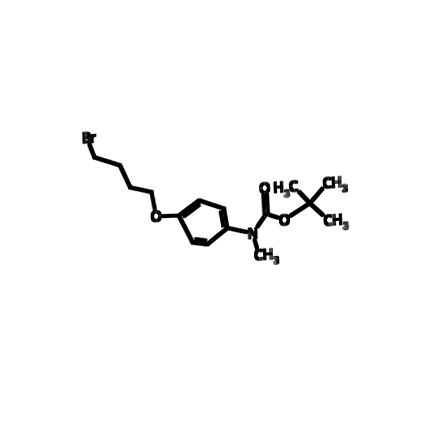 CN(C(=O)OC(C)(C)C)c1ccc(OCCCCBr)cc1